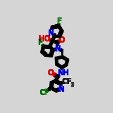 O=C(N[C@H]1CC[C@H](CN2C(=O)C(O)(c3ccc(F)cn3)c3c(F)cccc32)CC1)c1cc(Cl)cnc1C(F)(F)F